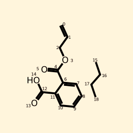 C=CCOC(=O)c1ccccc1C(=O)O.CCCC